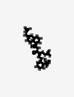 CN(C)CCN(CCc1ccccc1C(F)(F)F)C(=O)CNc1cccc2c1CCN(CC1CC1)C2